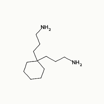 NCCCC1(CCCN)CCCCC1